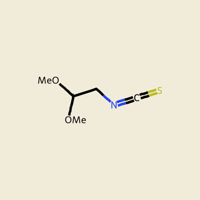 CO[C](CN=C=S)OC